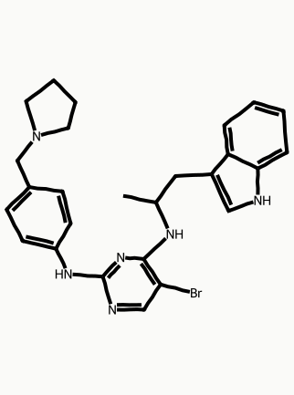 CC(Cc1c[nH]c2ccccc12)Nc1nc(Nc2ccc(CN3CCCC3)cc2)ncc1Br